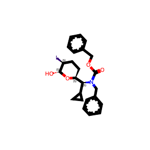 O=C(OCc1ccccc1)N(Cc1ccccc1)[C@@H](C1CC1)[C@@H]1CC[C@H](I)[C@@H](O)O1